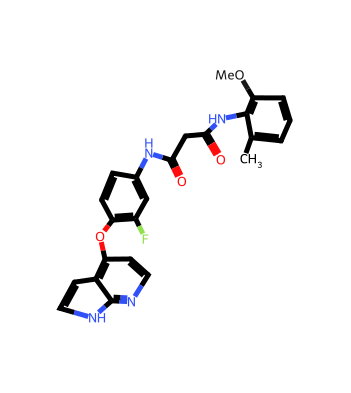 COc1cccc(C)c1NC(=O)CC(=O)Nc1ccc(Oc2ccnc3[nH]ccc23)c(F)c1